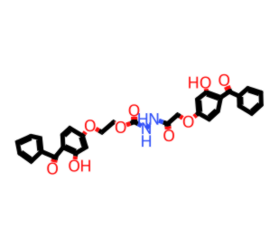 O=C(COc1ccc(C(=O)c2ccccc2)c(O)c1)NNC(=O)OCCOc1ccc(C(=O)c2ccccc2)c(O)c1